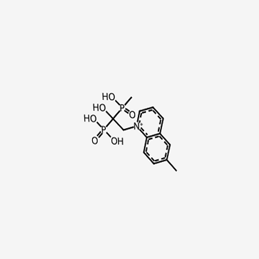 Cc1ccc2c(ccc[n+]2CC(O)(P(C)(=O)O)P(=O)(O)O)c1